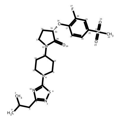 CC(C)Cc1nsc(N2CCC(N3CC[C@H](Oc4ccc(S(C)(=O)=O)cc4F)C3=O)CC2)n1